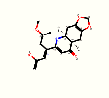 C=C(O)/C=C(\C[C@H](C)OC)C1=CC(=O)[C@@H]2CC3=C(C[C@@H]2N1)OCO3